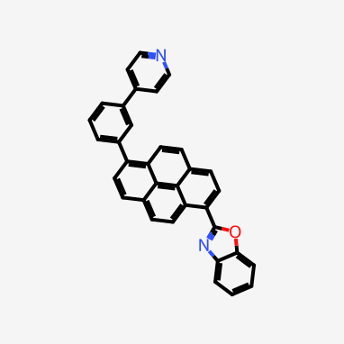 c1cc(-c2ccncc2)cc(-c2ccc3ccc4c(-c5nc6ccccc6o5)ccc5ccc2c3c54)c1